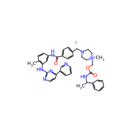 Cc1ccc(NC(=O)c2ccc(CN3CC[N+](C)(COC(=O)NC(C)c4ccccc4)CC3)cc2)cc1Nc1nccc(-c2cccnc2)n1.[I-]